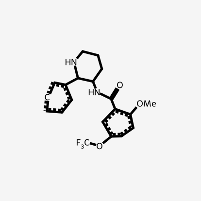 COc1ccc(OC(F)(F)F)cc1C(=O)NC1CCCNC1c1ccccc1